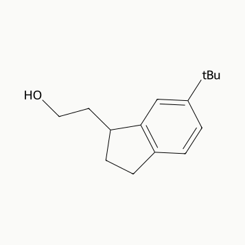 CC(C)(C)c1ccc2c(c1)C(CCO)CC2